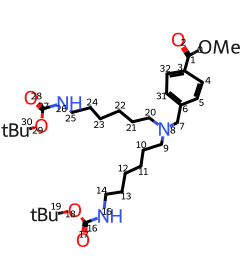 COC(=O)c1ccc(CN(CCCCCCNC(=O)OC(C)(C)C)CCCCCCNC(=O)OC(C)(C)C)cc1